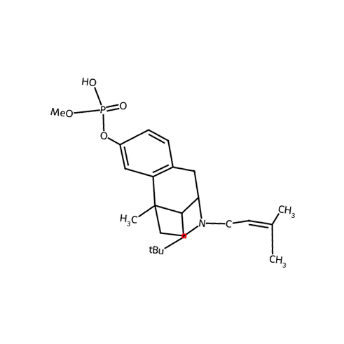 COP(=O)(O)Oc1ccc2c(c1)C1(C)CCN(CC=C(C)C)C(C2)C1CC(C)(C)C